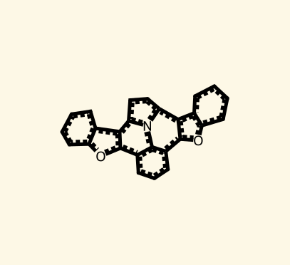 c1ccc2c(c1)oc1c3cccc4c5oc6ccccc6c5c5ccc(c21)n5c34